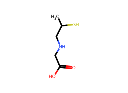 CC(S)CNCC(=O)O